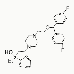 CCC(O)(CCN1CCN(CCOC(c2ccc(F)cc2)c2ccc(F)cc2)CC1)c1ccccc1